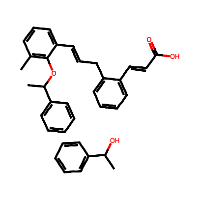 CC(O)c1ccccc1.Cc1cccc(C=CCc2ccccc2C=CC(=O)O)c1OC(C)c1ccccc1